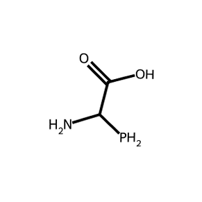 NC(P)C(=O)O